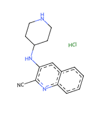 Cl.N#Cc1nc2ccccc2cc1NC1CCNCC1